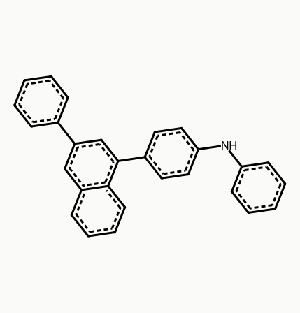 c1ccc(Nc2ccc(-c3cc(-c4ccccc4)cc4ccccc34)cc2)cc1